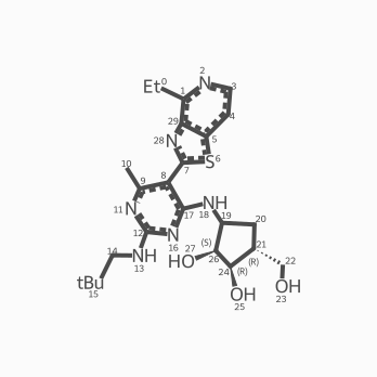 CCc1nccc2sc(-c3c(C)nc(NCC(C)(C)C)nc3NC3C[C@H](CO)[C@@H](O)[C@H]3O)nc12